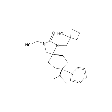 CN(C)[C@]1(c2ccccc2)CC[C@@]2(CC1)CN(CC#N)C(=O)N2CC1(O)CCC1